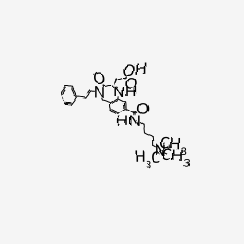 C[N+](C)(C)CCCCNC(=O)c1ccc2c(c1)N[C@H](CC(=O)O)C(=O)N(CCc1ccccc1)C2